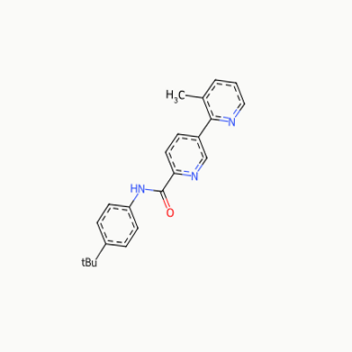 Cc1cccnc1-c1ccc(C(=O)Nc2ccc(C(C)(C)C)cc2)nc1